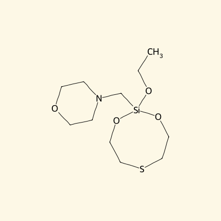 CCO[Si]1(CN2CCOCC2)OCCSCCO1